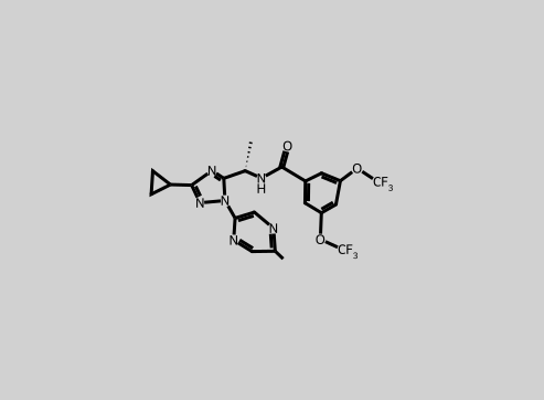 Cc1cnc(-n2nc(C3CC3)nc2[C@H](C)NC(=O)c2cc(OC(F)(F)F)cc(OC(F)(F)F)c2)cn1